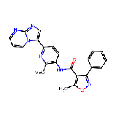 COc1nc(-c2cnc3ncccn23)ccc1NC(=O)c1c(-c2ccccc2)noc1C